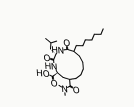 CCCCCCCC1CCCCCC(C(=O)N(C)C)C[C@@H](C(=O)O)NC(=O)[C@H](CC(C)C)NC1=O